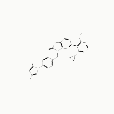 CCOc1ncnc(C2CC2)c1-c1ncc2[nH]c(=O)n(Cc3ccc(-n4nc(C(F)(F)F)cc4C)cc3)c2n1